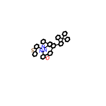 c1ccc(-c2ccccc2-c2nc(-c3cccc4oc5ccc(-c6cccc(-c7cccc8c7-c7ccccc7C8(c7ccccc7)c7ccccc7)c6)cc5c34)nc(-c3cccc4sc5ccccc5c34)n2)cc1